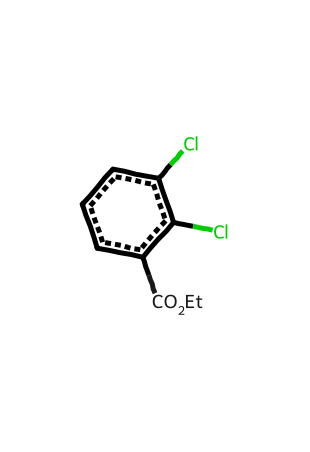 CCOC(=O)c1cccc(Cl)c1Cl